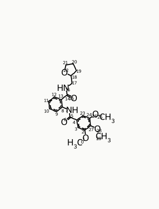 COc1cc(C(=O)Nc2ccccc2C(=O)NCC2CCCO2)cc(OC)c1OC